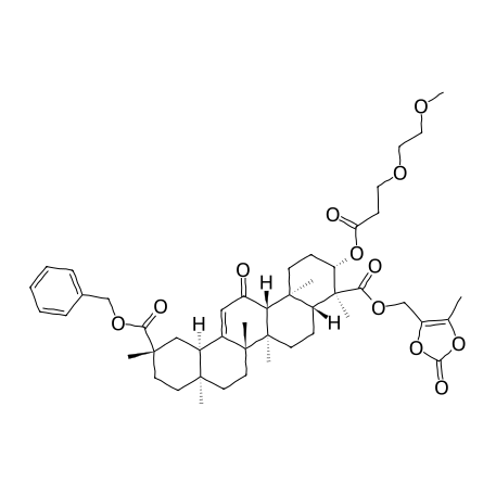 COCCOCCC(=O)O[C@H]1CC[C@@]2(C)[C@@H](CC[C@]3(C)[C@@H]2C(=O)C=C2[C@@H]4C[C@@](C)(C(=O)OCc5ccccc5)CC[C@]4(C)CC[C@]23C)[C@]1(C)C(=O)OCc1oc(=O)oc1C